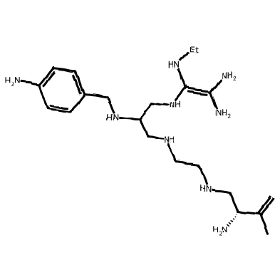 C=C(C)[C@H](N)CNCCNCC(CNC(NCC)=C(N)N)NCc1ccc(N)cc1